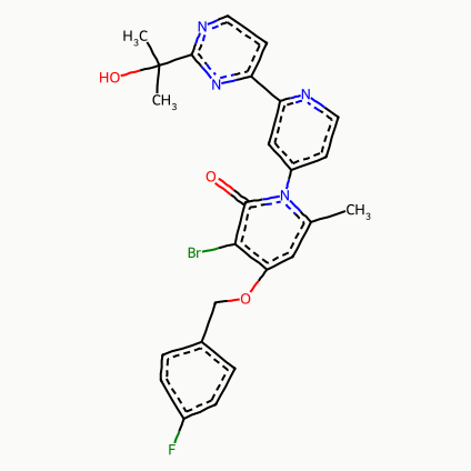 Cc1cc(OCc2ccc(F)cc2)c(Br)c(=O)n1-c1ccnc(-c2ccnc(C(C)(C)O)n2)c1